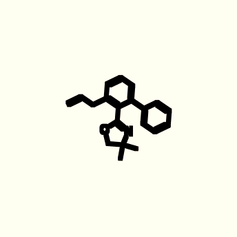 C=CCc1cccc(-c2ccccc2)c1C1=NC(C)(C)CO1